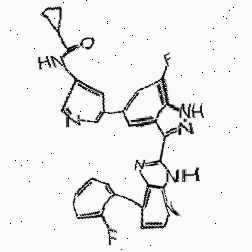 O=C(Nc1cncc(-c2cc(F)c3[nH]nc(-c4nc5c(-c6ccccc6F)ccnc5[nH]4)c3c2)c1)C1CC1